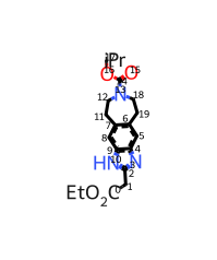 CCOC(=O)Cc1nc2cc3c(cc2[nH]1)CCN(C(=O)OC(C)C)CC3